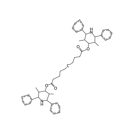 CC1C(c2ccccc2)NC(c2ccccc2)C(C)C1OC(=O)CCCCCCCCC(=O)OC1C(C)C(c2ccccc2)NC(c2ccccc2)C1C